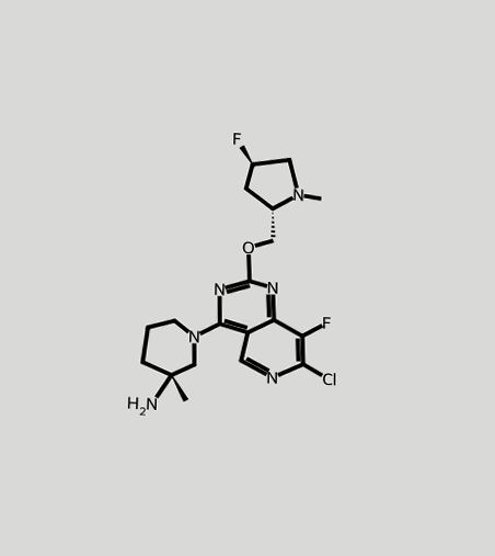 CN1C[C@H](F)C[C@H]1COc1nc(N2CCC[C@@](C)(N)C2)c2cnc(Cl)c(F)c2n1